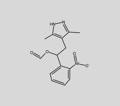 Cc1n[nH]c(C)c1CC(OC=O)c1ccccc1[N+](=O)[O-]